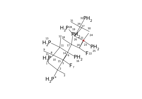 CCC(C)(P)C(C)(F)C(C)(P)C(C)(P)C(C)(P)C(C)(P)C(C)(F)C(C)(P)C(C)(P)C(C)(C)P